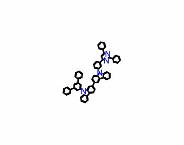 c1ccc(-c2cc(-c3ccccc3)cc(-n3c4ccccc4c4ccc(-c5ccc6c(c5)c5ccccc5n6-c5cccc(-c6cc(-c7ccccc7)nc(-c7ccccc7)n6)c5)cc43)c2)cc1